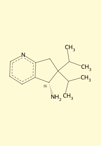 CC(C)C1(C(C)C)Cc2ncccc2[C@H]1N